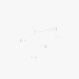 O=P(O)(O)O.[Cu].[Cu]